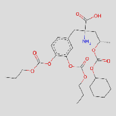 CCCOC(=O)Oc1ccc(CC(N)(C[C@H](C)OC(=O)OC2CCCCC2)C(=O)O)cc1OC(=O)OCCC